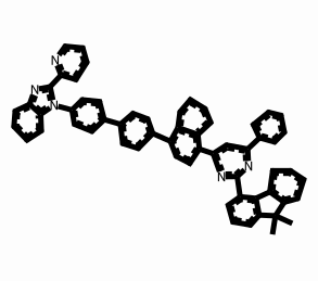 CC1(C)c2ccccc2-c2c(-c3nc(-c4ccccc4)cc(-c4ccc(-c5ccc(-c6ccc(-n7c(-c8ccccn8)nc8ccccc87)cc6)cc5)c5ccccc45)n3)cccc21